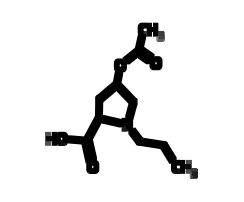 CCCN1CC(OC(C)=O)CC1C(=O)O